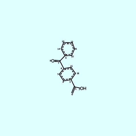 C=C(O)c1ccc(C(=O)c2ccccc2)cc1